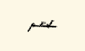 CCCCCCCCC(CCC)OC(=O)CCCCCCCN(CCCN)CCCCCCCC(=O)OC(CCCCCCCC)CCCCCCCC